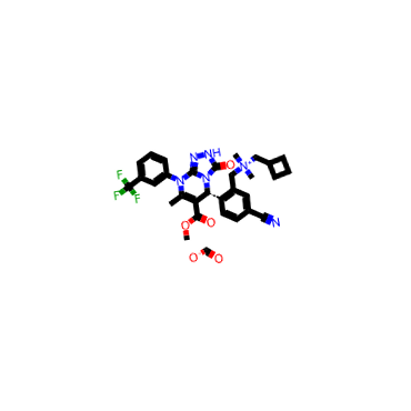 COC(=O)C1=C(C)N(c2cccc(C(F)(F)F)c2)c2n[nH]c(=O)n2[C@@H]1c1ccc(C#N)cc1C[N+](C)(C)CC1CCC1.O=C[O-]